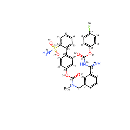 CCN(Cc1cccc(C(=N)NC(=O)Oc2ccc(F)cc2)c1)C(=O)Oc1ccc(-c2ccccc2S(N)(=O)=O)cc1